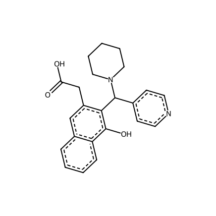 O=C(O)Cc1cc2ccccc2c(O)c1C(c1ccncc1)N1CCCCC1